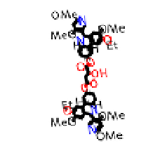 CCOc1cc2c(cc1OC)C(c1cnc(OC)cc1OC)=N[C@H]1CC[C@H](OC(=O)CC(O)C(=O)O[C@H]3CC[C@@H]4N=C(c5cnc(OC)cc5OC)c5cc(OC)c(OCC)cc5[C@@H]4C3)C[C@@H]21